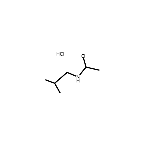 CC(C)CNC(C)Cl.Cl